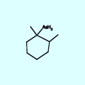 CC1CCCCC1(C)[AsH2]